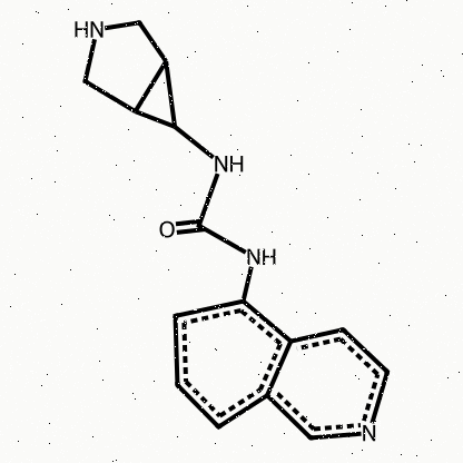 O=C(Nc1cccc2cnccc12)NC1C2CNCC21